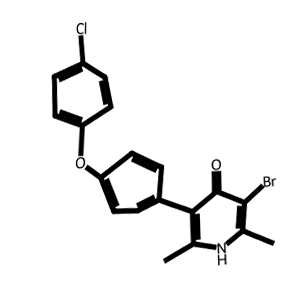 Cc1[nH]c(C)c(-c2ccc(Oc3ccc(Cl)cc3)cc2)c(=O)c1Br